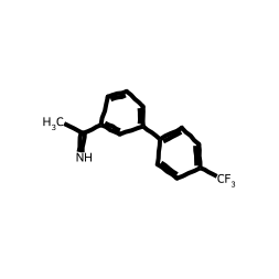 CC(=N)c1cccc(-c2ccc(C(F)(F)F)cc2)c1